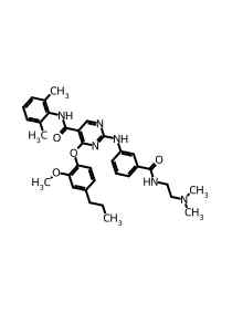 CCCc1ccc(Oc2nc(Nc3cccc(C(=O)NCCN(C)C)c3)ncc2C(=O)Nc2c(C)cccc2C)c(OC)c1